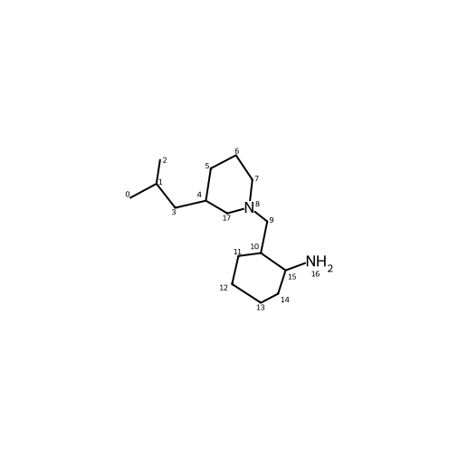 CC(C)CC1CCCN(CC2CCCCC2N)C1